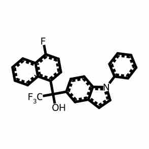 OC(c1ccc2c(ccn2-c2ccccc2)c1)(c1ccc(F)c2ccccc12)C(F)(F)F